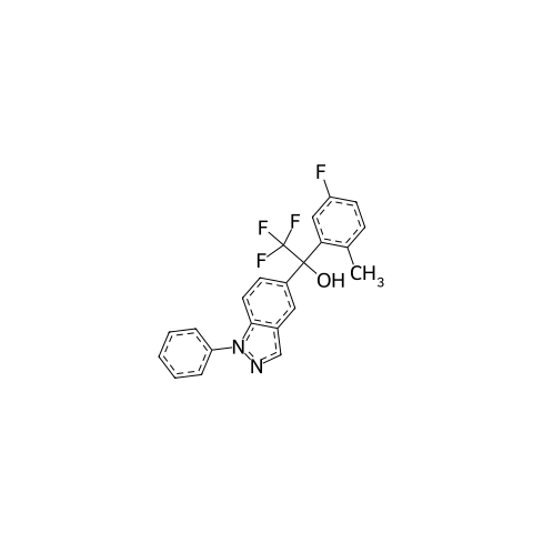 Cc1ccc(F)cc1C(O)(c1ccc2c(cnn2-c2ccccc2)c1)C(F)(F)F